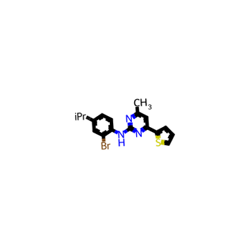 Cc1cc(-c2cccs2)nc(Nc2ccc(C(C)C)cc2Br)n1